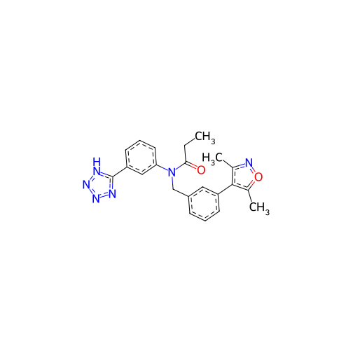 CCC(=O)N(Cc1cccc(-c2c(C)noc2C)c1)c1cccc(-c2nnn[nH]2)c1